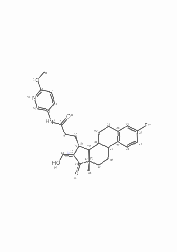 COc1ccc(NC(=O)CC[C@@H]2/C(=C/O)C(=O)[C@@]3(C)CCC4c5ccc(F)cc5CCC4C23)nn1